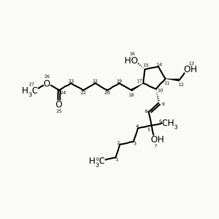 CCCCCC(C)(O)C=C[C@H]1[C@H](CO)C[C@@H](O)[C@@H]1CCCCCCC(=O)OC